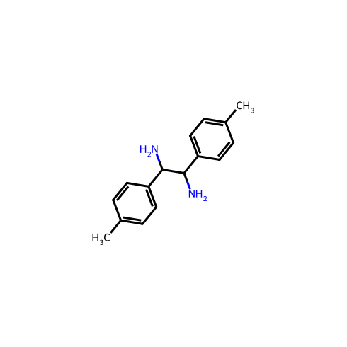 Cc1ccc(C(N)C(N)c2ccc(C)cc2)cc1